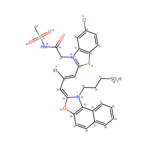 CCC(=Cc1sc2ccc(Cl)cc2[n+]1CC(=O)NS(C)(=O)=O)C=C1Oc2ccc3ccccc3c2N1CCCS(=O)(=O)O